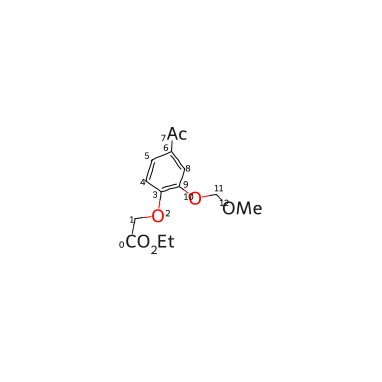 CCOC(=O)COc1ccc(C(C)=O)cc1OCOC